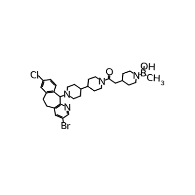 CB(O)N1CCC(CC(=O)N2CCC(C3CCN(C4c5ccc(Cl)cc5CCc5cc(Br)cnc54)CC3)CC2)CC1